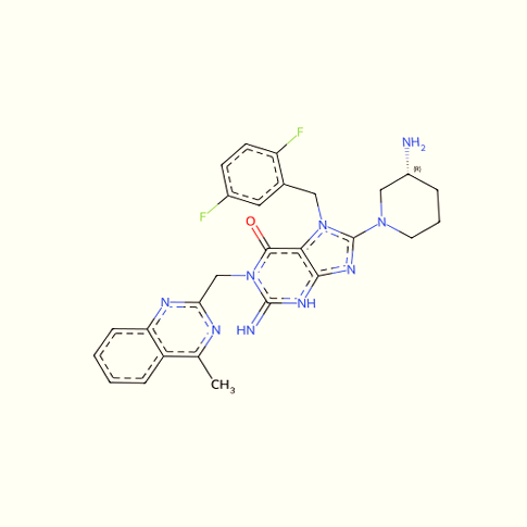 Cc1nc(Cn2c(=N)[nH]c3nc(N4CCC[C@@H](N)C4)n(Cc4cc(F)ccc4F)c3c2=O)nc2ccccc12